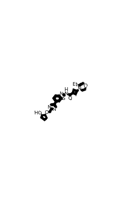 CC[C@@H]1COCCN1C1CC(C(=O)Nc2nc3ccc(-c4cnc(CO[C@H]5CCC[C@@H]5O)nc4)cc3s2)C1